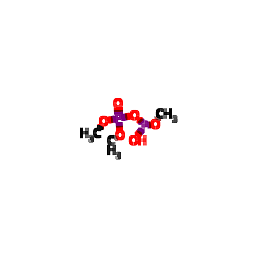 COP(O)OP(=O)(OC)OC